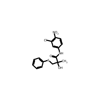 CC(O)(CSc1ccccc1)C(=O)Nc1ccc([N+](=O)[O-])c(Cl)c1